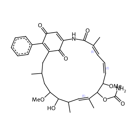 COC1/C=C\C=C(/C)C(=O)NC2=CC(=O)C(c3ccccc3)=C(CC(C)CC(OC)C(O)C(C)/C=C(\C)C1OC(N)=O)C2=O